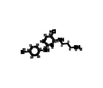 NCCCNc1nc(Nc2ccc(Br)cc2)ncc1Cl